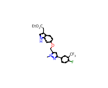 CCOC(=O)Cc1c[nH]c2cc(OCc3cc(-c4ccc(F)c(C(F)(F)F)c4)nn3C)ccc12